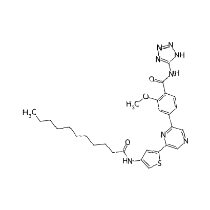 CCCCCCCCCCC(=O)Nc1csc(-c2cncc(-c3ccc(C(=O)Nc4nnn[nH]4)c(OC)c3)n2)c1